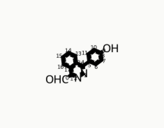 O=Cc1nnc(-c2ccc(O)cc2)c2ccccc12